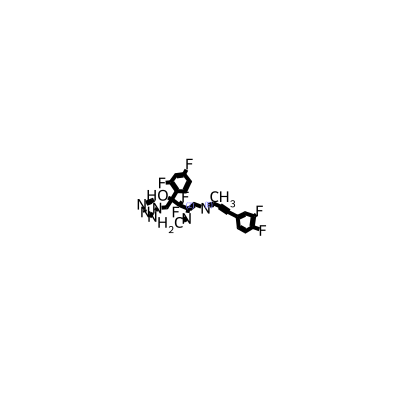 C=N/C(=C\N=C(/C)C#Cc1ccc(F)c(F)c1)C(F)(F)C(O)(Cn1cnnn1)c1ccc(F)cc1F